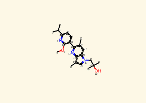 COc1nc(C(C)C)ccc1-c1nc2c(C)cn(CC(C)(C)O)c2cc1C